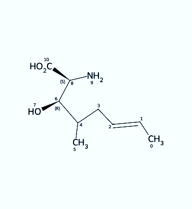 CC=CCC(C)[C@@H](O)[C@H](N)C(=O)O